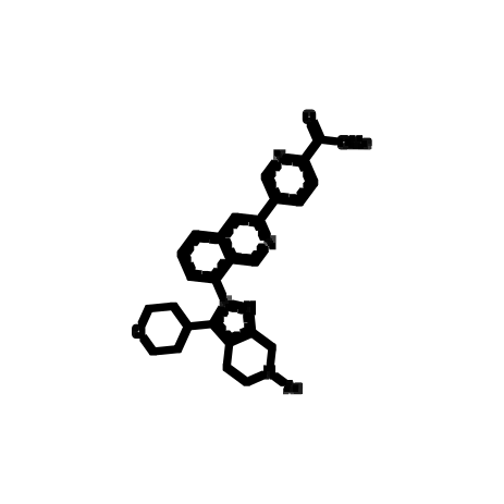 COC(=O)c1ccc(-c2cc3cccc(-n4nc5c(c4C4CCOCC4)CCN(C(C)=O)C5)c3cn2)cn1